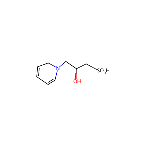 O=S(=O)(O)C[C@@H](O)CN1C=CC=CC1